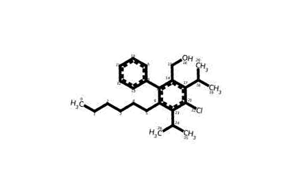 CCCCCCc1c(-c2ccccc2)c(CO)c(C(C)C)c(Cl)c1C(C)C